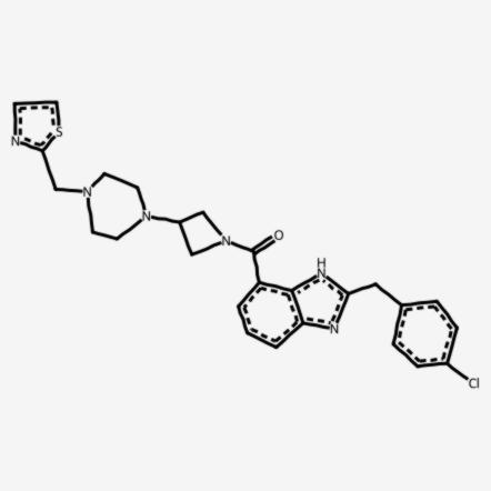 O=C(c1cccc2nc(Cc3ccc(Cl)cc3)[nH]c12)N1CC(N2CCN(Cc3nccs3)CC2)C1